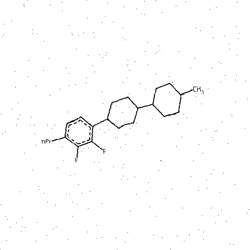 CCCc1ccc(C2CCC(C3CCC(C)CC3)CC2)c(F)c1F